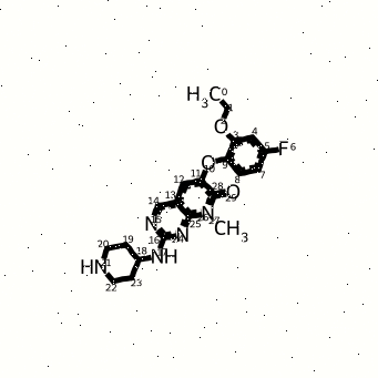 CCOc1cc(F)ccc1Oc1cc2cnc(NC3CCNCC3)nc2n(C)c1=O